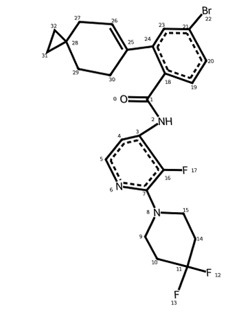 O=C(Nc1ccnc(N2CCC(F)(F)CC2)c1F)c1ccc(Br)cc1C1=CCC2(CC1)CC2